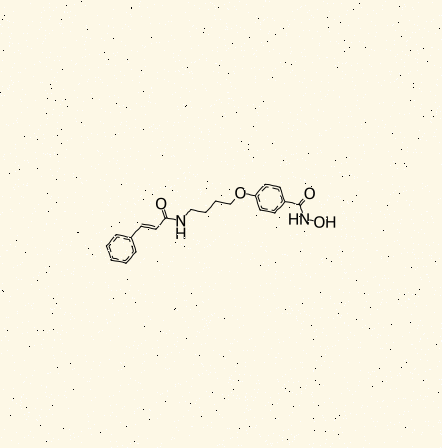 O=C(/C=C/c1ccccc1)NCCCCOc1ccc(C(=O)NO)cc1